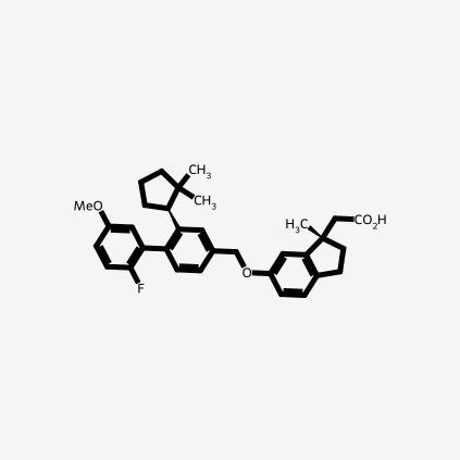 COc1ccc(F)c(-c2ccc(COc3ccc4c(c3)[C@](C)(CC(=O)O)CC4)cc2[C@H]2CCCC2(C)C)c1